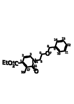 CCOC(=O)c1ccn(CCOCc2ccccc2)c(=O)c1C